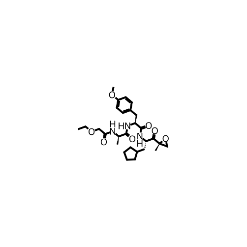 CCOCC(=O)N[C@H](C)C(=O)N[C@@H](Cc1ccc(OC)cc1)C(=O)N[C@@H](CC1CCCC1)C(=O)[C@@]1(C)CO1